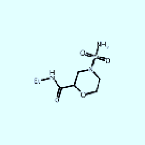 CCNC(=O)C1CN(S(N)(=O)=O)CCO1